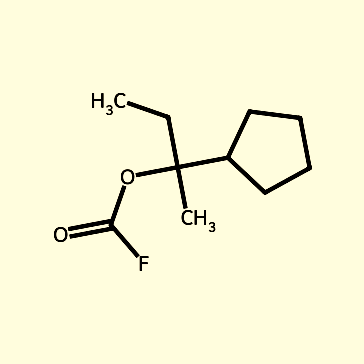 CCC(C)(OC(=O)F)C1CCCC1